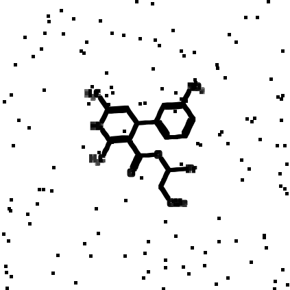 COCC(OC(=O)C1=C(C)NC(C)=CC1c1cccc([N+](=O)[O-])c1)C(C)C